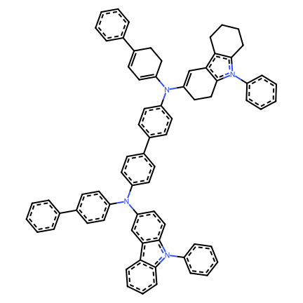 C1=C(c2ccccc2)CCC(N(C2=Cc3c4c(n(-c5ccccc5)c3CC2)CCCC4)c2ccc(-c3ccc(N(c4ccc(-c5ccccc5)cc4)c4ccc5c(c4)c4ccccc4n5-c4ccccc4)cc3)cc2)=C1